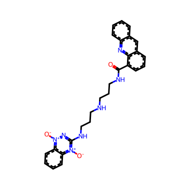 O=C(NCCCNCCCNc1n[n+]([O-])c2ccccc2[n+]1[O-])c1cccc2cc3ccccc3nc12